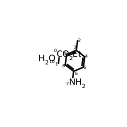 CCOC(C)=O.Cc1ccc(N)cc1.O